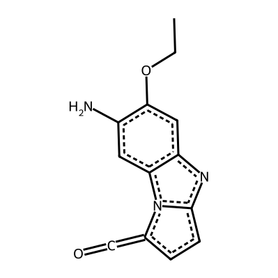 CCOc1cc2nc3ccc(=C=O)n3c2cc1N